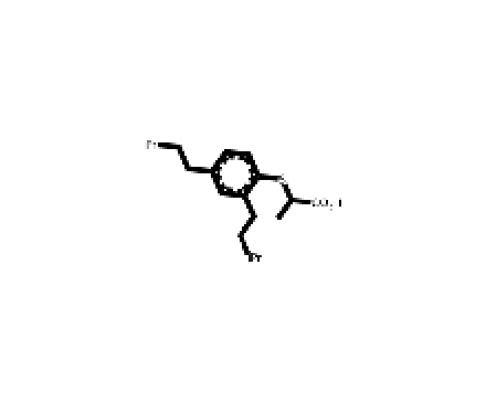 CC(C)CCc1ccc(SC(C)C(=O)O)c(CCC(C)C)c1